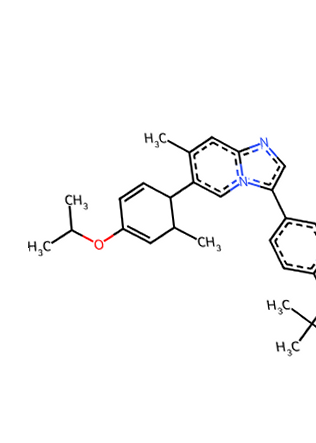 Cc1cc2ncc(-c3ccc(OC(C)(C)C)nc3)n2cc1C1C=CC(OC(C)C)=CC1C